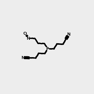 N#CCCCP(CCCC#N)CCCN=O